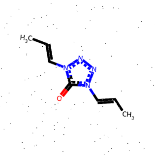 C/C=C/n1nnn(/C=C/C)c1=O